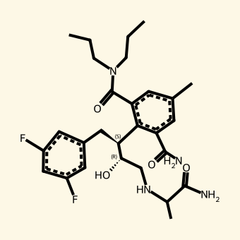 CCCN(CCC)C(=O)c1cc(C)cc(C(N)=O)c1[C@H](Cc1cc(F)cc(F)c1)[C@@H](O)CNC(C)C(N)=O